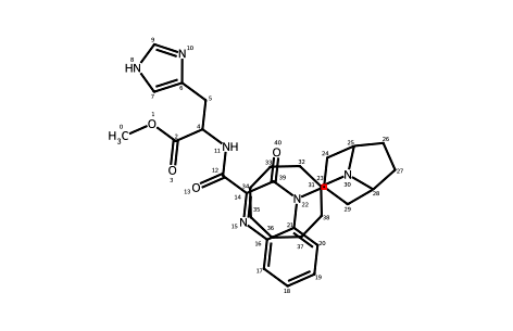 COC(=O)C(Cc1c[nH]cn1)NC(=O)c1nc2ccccc2n(C2CC3CCC(C2)N3C2CCCCCCC2)c1=O